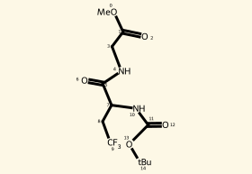 COC(=O)CNC(=O)C(CC(F)(F)F)NC(=O)OC(C)(C)C